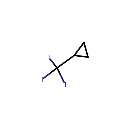 IC(I)(I)C1CC1